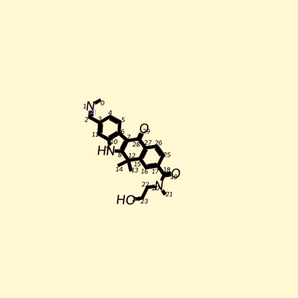 C/N=C\c1ccc2c3c([nH]c2c1)C(C)(C)c1cc(C(=O)N(C)CCO)ccc1C3=O